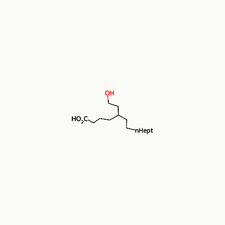 CCCCCCCCCC(CCO)CCCC(=O)O